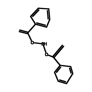 C=C(OBOC(=C)c1ccccc1)c1ccccc1